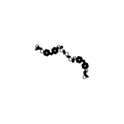 CC(OCCOCCOC(C)Oc1ccc(Cc2ccc(OCC3CO3)cc2)cc1)Oc1ccc(Cc2ccc(OCC3CO3)cc2)cc1